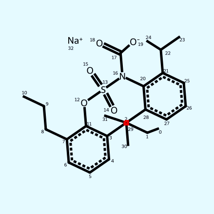 CCCc1cccc(CCC)c1OS(=O)(=O)N(C(=O)[O-])c1c(C(C)C)cccc1C(C)C.[Na+]